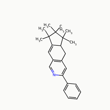 CC1(C)C2=Cc3cnc(-c4ccccc4)cc3CC2C(C)(C)C1(C)C